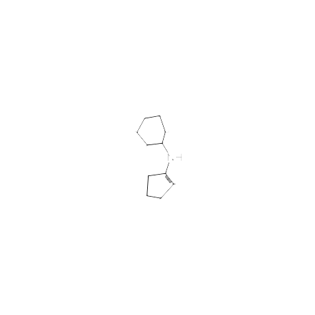 C1=C(NC2CCCCC2)CCC1